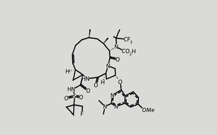 COc1ccc2c(O[C@@H]3C[C@H]4C(=O)N[C@]5(C(=O)NS(=O)(=O)C6(CF)CC6)C[C@H]5C=CCC[C@@H](C)C[C@@H](C)[C@H](N(C(=O)O)C(C)(C)C(F)(F)F)C(=O)N4C3)nc(N(C)C)nc2c1